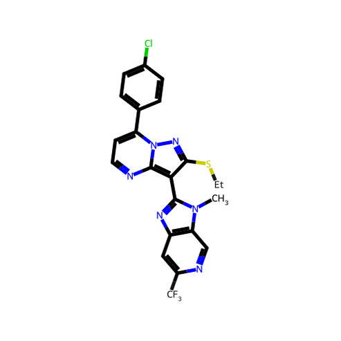 CCSc1nn2c(-c3ccc(Cl)cc3)ccnc2c1-c1nc2cc(C(F)(F)F)ncc2n1C